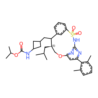 Cc1cccc(C)c1-c1cc2nc(n1)NS(=O)(=O)c1cccc(c1)C(CC1CC(NC(=O)OC(C)C)C1)[C@H](CC(C)C)CO2